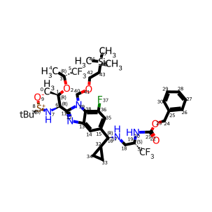 C[C@@H](O[C@H](C)C(F)(F)F)[C@H](N[S@+]([O-])C(C)(C)C)c1nc2cc([C@H](NC[C@H](NC(=O)OCc3ccccc3)C(F)(F)F)C3CC3)cc(F)c2n1COCC[Si](C)(C)C